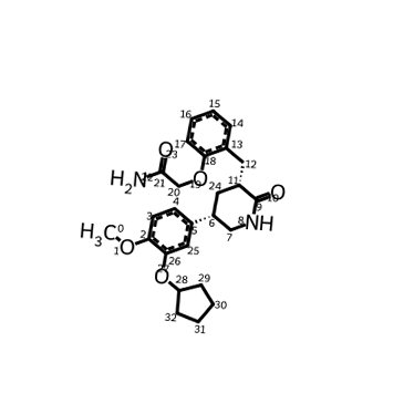 COc1ccc([C@H]2CNC(=O)[C@@H](Cc3ccccc3OCC(N)=O)C2)cc1OC1CCCC1